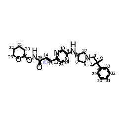 CC(C)(CN1CC[C@@H](Nc2cnc(/C=C/C(=O)NOC3CCCCO3)cn2)C1)c1ccccc1